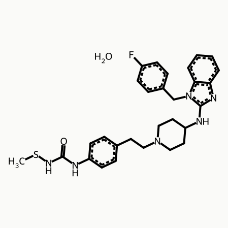 CSNC(=O)Nc1ccc(CCN2CCC(Nc3nc4ccccc4n3Cc3ccc(F)cc3)CC2)cc1.O